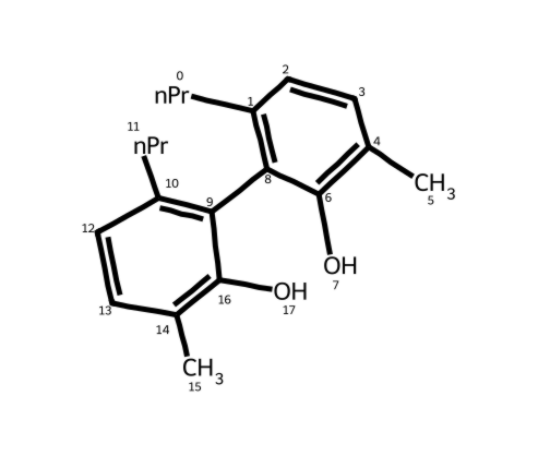 CCCc1ccc(C)c(O)c1-c1c(CCC)ccc(C)c1O